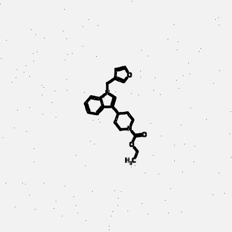 CCOC(=O)N1CCC(c2cn(Cc3ccoc3)c3ccccc23)CC1